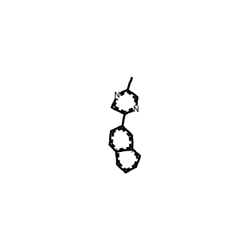 Cc1cnc(-c2ccc3ccccc3c2)cn1